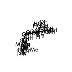 CC[C@H](C)[C@@H]([C@@H](CC(=O)N1CCC[C@H]1[C@H](OC)[C@@H](C)C(=O)N[C@@H](Cc1ccccc1)C(=O)NCCCOC(=O)C(C)NC(=O)CCNC(=O)OCC(N)C(=O)NC(CCC(=O)NC[C@H](O)[C@@H](O)[C@@H](O)[C@H](O)CO)C(=O)CC[C@H](O)[C@@H](O)[C@@H](O)[C@H](O)CO)OC)N(C)C(=O)[C@H](NC(=O)[C@H](C(C)C)N(C)C)C(C)C